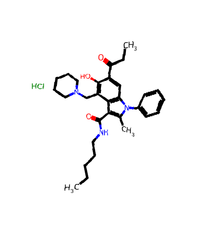 CCCCCNC(=O)c1c(C)n(-c2ccccc2)c2cc(C(=O)CC)c(O)c(CN3CCCCC3)c12.Cl